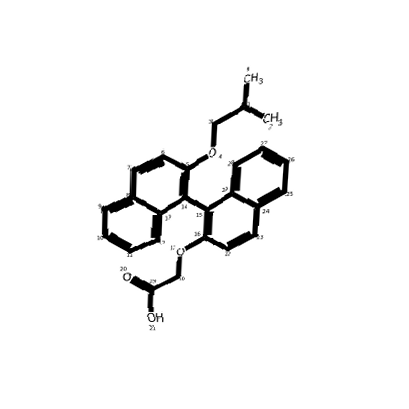 CC(C)COc1ccc2ccccc2c1-c1c(OCC(=O)O)ccc2ccccc12